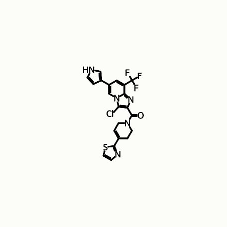 O=C(c1nc2c(C(F)(F)F)cc(-c3cc[nH]c3)cn2c1Cl)N1CC=C(c2nccs2)CC1